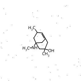 CNC12CC(=CC(C)C1)CC(C)(O)C2